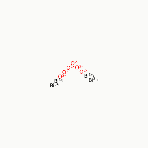 [Bi+3].[Bi+3].[Bi+3].[Bi+3].[O-2].[O-2].[O-2].[O-2].[O-2].[O-2]